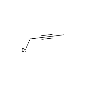 CC#CCCC